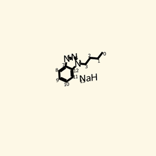 CCCCn1nnc2ccccc21.[NaH]